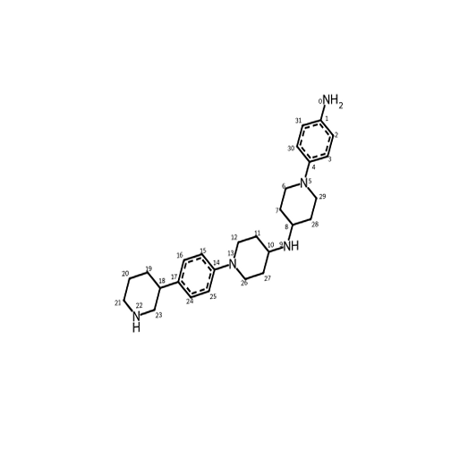 Nc1ccc(N2CCC(NC3CCN(c4ccc(C5CCCNC5)cc4)CC3)CC2)cc1